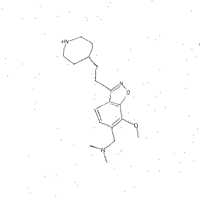 COc1c(CN(C)C)ccc2c(CCC3CCNCC3)noc12